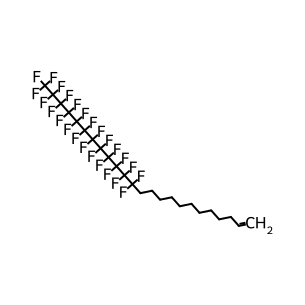 C=CCCCCCCCCCCC(F)(F)C(F)(F)C(F)(F)C(F)(F)C(F)(F)C(F)(F)C(F)(F)C(F)(F)C(F)(F)C(F)(F)C(F)(F)C(F)(F)F